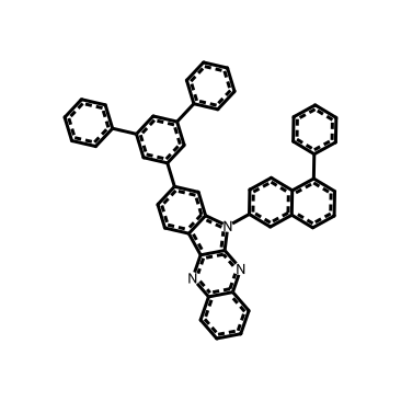 c1ccc(-c2cc(-c3ccccc3)cc(-c3ccc4c5nc6ccccc6nc5n(-c5ccc6c(-c7ccccc7)cccc6c5)c4c3)c2)cc1